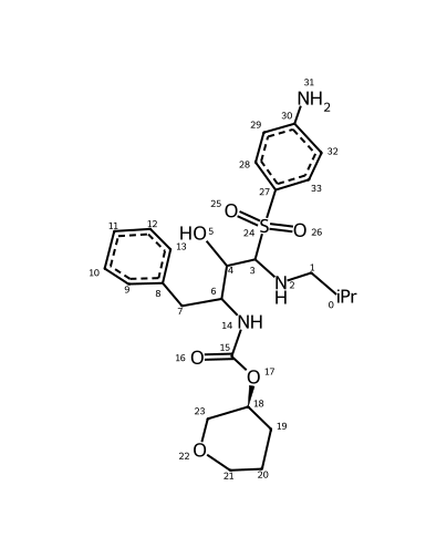 CC(C)CNC(C(O)C(Cc1ccccc1)NC(=O)O[C@H]1CCCOC1)S(=O)(=O)c1ccc(N)cc1